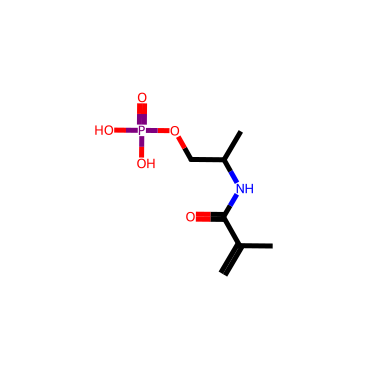 C=C(C)C(=O)NC(C)COP(=O)(O)O